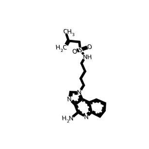 C=C(C)CS(=O)(=O)NCCCCn1cnc2c(N)nc3ccccc3c21